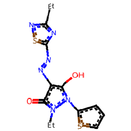 CCc1nsc(N=Nc2c(O)n(-c3cccs3)n(CC)c2=O)n1